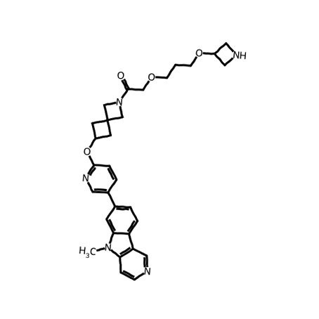 Cn1c2ccncc2c2ccc(-c3ccc(OC4CC5(C4)CN(C(=O)COCCCOC4CNC4)C5)nc3)cc21